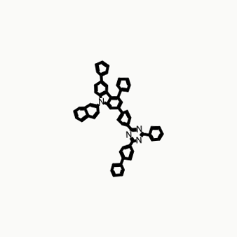 c1ccc(-c2ccc(-c3nc(-c4ccccc4)nc(-c4ccc(-c5cc(-c6ccccc6)c6c7cc(-c8ccccc8)ccc7n(-c7ccc8ccccc8c7)c6c5)cc4)n3)cc2)cc1